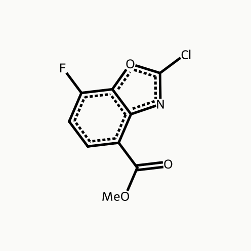 COC(=O)c1ccc(F)c2oc(Cl)nc12